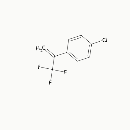 C=C(c1ccc(Cl)cc1)C(F)(F)F